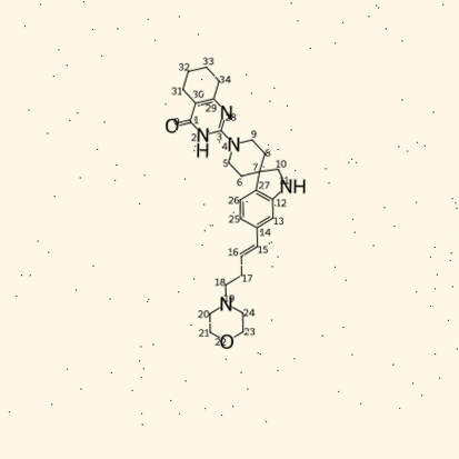 O=c1[nH]c(N2CCC3(CC2)CNc2cc(/C=C/CCN4CCOCC4)ccc23)nc2c1CCCC2